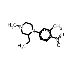 CCC1CN(C)CCN1c1ccc([N+](=O)[O-])c(C)c1